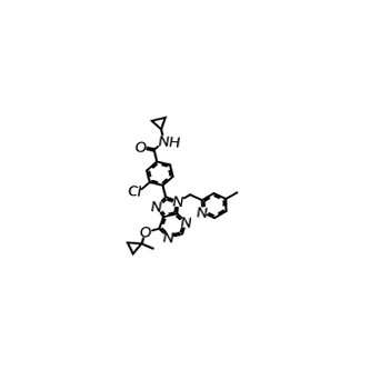 Cc1ccnc(Cn2c(-c3ccc(C(=O)NC4CC4)cc3Cl)nc3c(OC4(C)CC4)ncnc32)c1